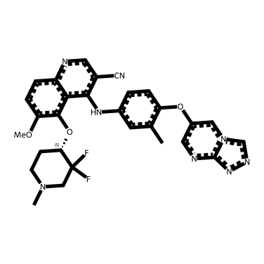 COc1ccc2ncc(C#N)c(Nc3ccc(Oc4cnc5nncn5c4)c(C)c3)c2c1O[C@H]1CCN(C)CC1(F)F